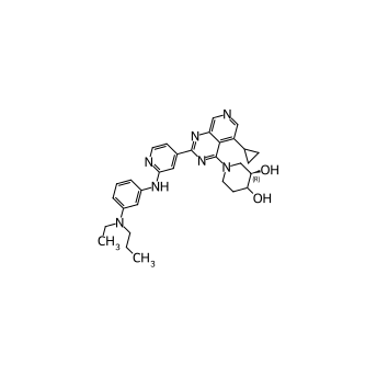 CCCN(CC)c1cccc(Nc2cc(-c3nc(N4CCC(O)[C@H](O)C4)c4c(C5CC5)cncc4n3)ccn2)c1